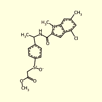 COC(=O)C[S+]([O-])c1ccc(C(C)NC(=O)c2cc3c(Cl)cc(C)cc3n2C)cc1